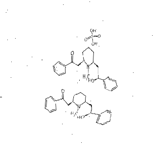 CN1[C@@H](CC(=O)c2ccccc2)CCC[C@H]1C[C@H](O)c1ccccc1.CN1[C@@H](CC(=O)c2ccccc2)CCC[C@H]1C[C@H](O)c1ccccc1.O=S(=O)(O)O